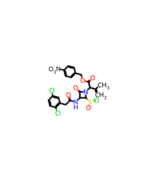 C=C(C)C(C(=O)OCc1ccc([N+](=O)[O-])cc1)N1C(=O)C(NC(=O)Cc2cc(Cl)ccc2Cl)C1[S+]([O-])Cl